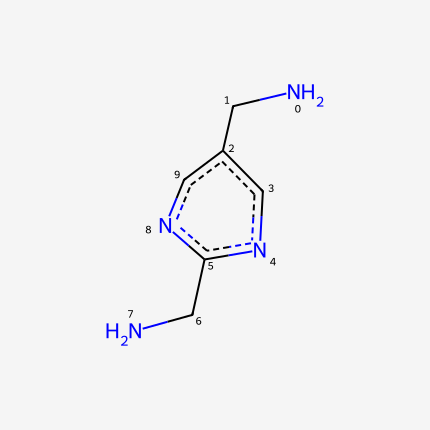 NCc1cnc(CN)nc1